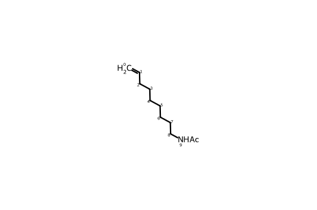 C=CCCCCCCCNC(C)=O